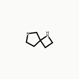 C1CC2(CCN2)C[N]1